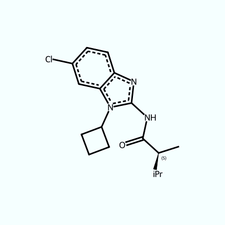 CC(C)[C@H](C)C(=O)Nc1nc2ccc(Cl)cc2n1C1CCC1